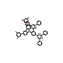 Cc1cc(C)cc(-c2ccc3c(c2)c2cc(-c4cc(C)cc(C)c4)ccc2n3-c2ccc(-c3cc(-c4ccccc4)nc(-c4ccccc4)n3)cc2-c2nc(-c3ccccc3)cc(-c3ccccc3)n2)c1